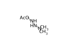 CC(=O)OCCNCCNCCN(C)C